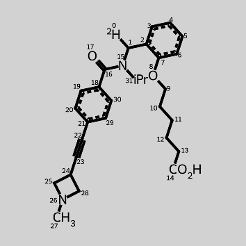 [2H]C(c1ccccc1OCCCCCC(=O)O)N(C(=O)c1ccc(C#CC2CN(C)C2)cc1)C(C)C